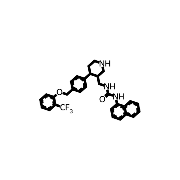 O=C(NCC1CNCCC1c1ccc(COc2ccccc2C(F)(F)F)cc1)Nc1cccc2ccccc12